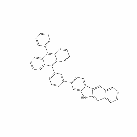 c1ccc(-c2c3ccccc3c(-c3cccc(-c4ccc5c(c4)[nH]c4cc6ccccc6cc45)c3)c3ccccc23)cc1